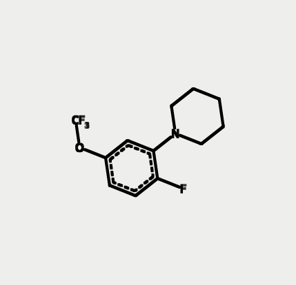 Fc1ccc(OC(F)(F)F)cc1N1CCCCC1